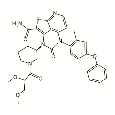 COC[C@@H](OC)C(=O)N1CCC[C@@H](N2C(=O)N(c3ccc(Oc4ccccc4)cc3C)c3ccnc4sc(C(N)=O)c2c34)C1